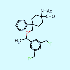 CC(=O)NC1(C=O)CCC(CO[C@H](C)c2cc(CF)cc(CF)c2)(c2ccccc2)CC1